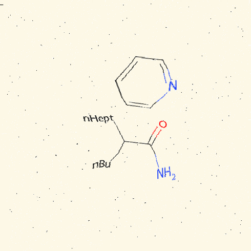 CCCCCCCC(CCCC)C(N)=O.c1ccncc1